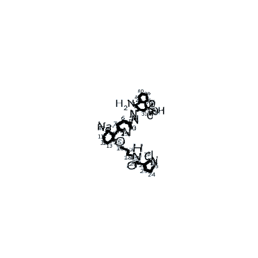 Nc1c(N=Nc2ccc(-c3ccccc3OCCCNC(=O)c3cccnc3Cl)nc2)cc(S(=O)(=O)O)c2ccccc12.[Na]